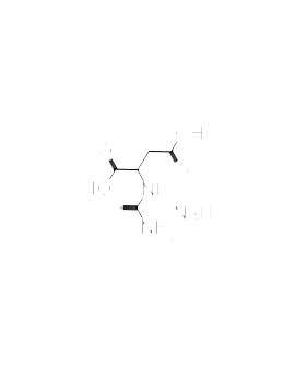 NC(=O)NC(CC(=O)O)C(=O)O.[NaH]